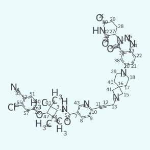 CC1(C)[C@H](NC(=O)c2ccc(C#CCN3CC4(CCN(c5ccc6nnn(C7CCC(=O)NC7=O)c(=O)c6c5)CC4)C3)nc2)C(C)(C)[C@H]1Oc1ccc(C#N)c(Cl)c1